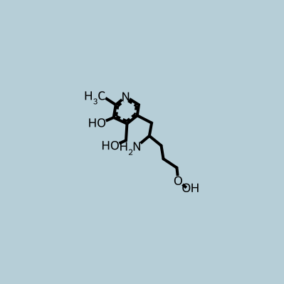 Cc1ncc(CC(N)CCCOO)c(CO)c1O